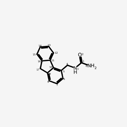 NC(=O)NCc1cccc2c1-c1ccccc1C2